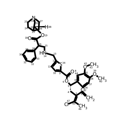 C=C(Cl)/C(C[C@H](OC(=O)c1ccc(CNCC(C(=O)O[C@H]2CN3CCC2CC3)c2ccccc2)s1)c1ccc(OC)c(OC)c1)=C(\C)Cl